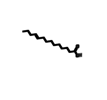 CCCC=CCCCCCCCCC(=O)O